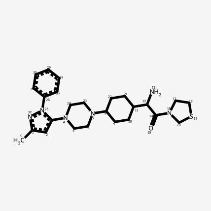 Cc1cc(N2CCN(C3CCC(C(N)C(=O)N4CCSC4)CC3)CC2)n(-c2ccccc2)n1